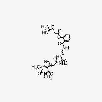 Cn1c(=O)c2c(ncn2CC(=O)NC(=N)N/N=C/NC(=O)c2ccccc2OC(=O)CNC(=N)N)n(C)c1=O